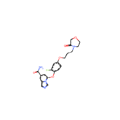 NC(=O)c1cc(Oc2ccc(OCCCN3CCOCC3=O)cc2F)n2cncc2c1